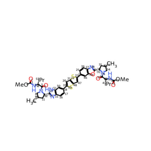 COC(=O)N[C@H](C(=O)N1C[C@@H](C)C[C@H]1c1nc2ccc(-c3cc4sc(-c5ccc6nc([C@@H]7C[C@H](C)CN7C(=O)[C@@H](NC(=O)OC)C(C)C)oc6c5)cc4s3)cc2[nH]1)C(C)C